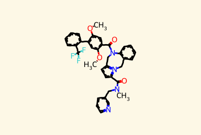 COc1cc(-c2ccccc2C(F)(F)F)c(OC)cc1C(=O)N1Cc2ccc(C(=O)N(C)Cc3cccnc3)n2Cc2ccccc21